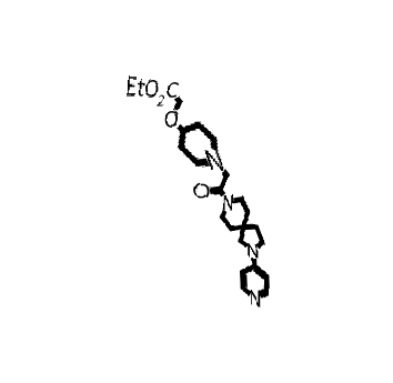 CCOC(=O)COC1CCN(CC(=O)N2CCC3(CC2)CCN(c2ccncc2)C3)CC1